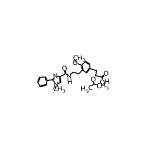 COc1ccc(CC(OC(C)C)C(=O)O)cc1CCNC(=O)c1cn(C)c(-c2ccccc2)n1